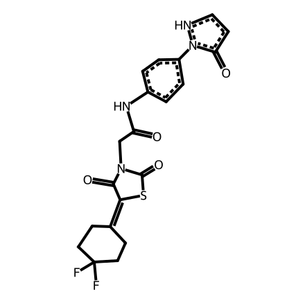 O=C(CN1C(=O)SC(=C2CCC(F)(F)CC2)C1=O)Nc1ccc(-n2[nH]ccc2=O)cc1